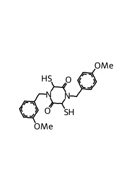 COc1ccc(CN2C(=O)C(S)N(Cc3cccc(OC)c3)C(=O)C2S)cc1